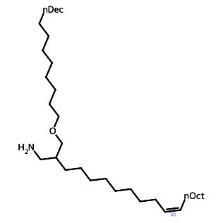 CCCCCCCC/C=C\CCCCCCCCC(CN)COCCCCCCCCCCCCCCCCCC